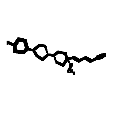 CO[C@]1(C=CC=CC#N)CC[C@H]([C@H]2CC[C@H](c3ccc(F)cc3)CC2)CC1